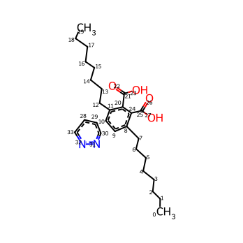 CCCCCCCCc1ccc(CCCCCCCC)c(C(=O)O)c1C(=O)O.c1ccnnc1